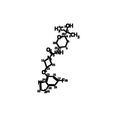 CC(C)(O)[C@@H]1CC[C@@H](NC(=O)N2CC(Oc3cc(F)cc4scnc34)C2)CO1